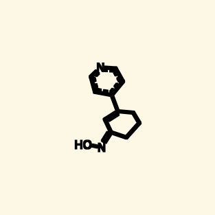 ON=C1C=C(c2ccncc2)CCC1